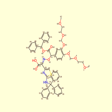 COCCOCOc1ccc(C(O/N=C(/C(=O)O)c2csc(NC(c3ccccc3)(c3ccccc3)c3ccccc3)n2)C(=O)OC(c2ccccc2)c2ccccc2)cc1OCOCCOC